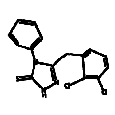 S=c1[nH]nc(Cc2cccc(Cl)c2Cl)n1-c1ccccc1